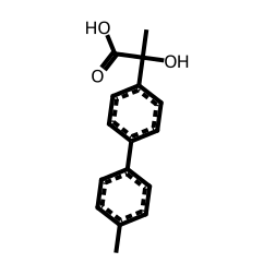 Cc1ccc(-c2ccc(C(C)(O)C(=O)O)cc2)cc1